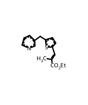 CCOC(=O)C(C)=Cc1ccc(Cc2cccnc2)s1